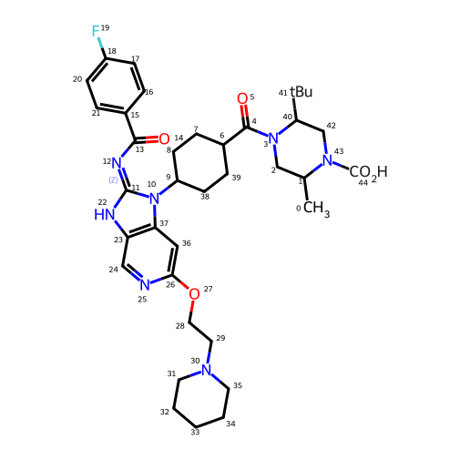 CC1CN(C(=O)C2CCC(n3/c(=N\C(=O)c4ccc(F)cc4)[nH]c4cnc(OCCN5CCCCC5)cc43)CC2)C(C(C)(C)C)CN1C(=O)O